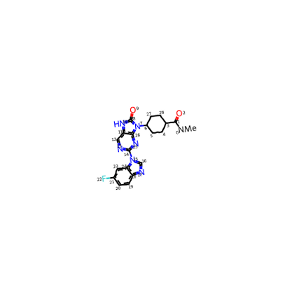 CNC(=O)C1CCC(n2c(=O)[nH]c3cnc(-n4cnc5ccc(F)cc54)nc32)CC1